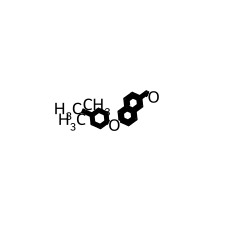 CC(C)(C)C1CCC(Oc2ccc3cc(C=O)ccc3c2)CC1